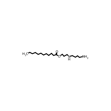 CCCCCCCCCCCC(=O)OCCCNCCCCN